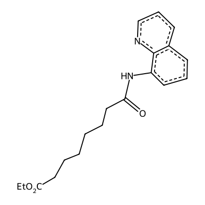 CCOC(=O)CCCCCCC(=O)Nc1cccc2cccnc12